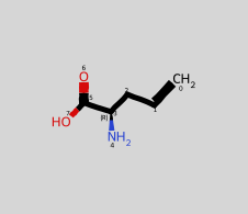 C=CC[C@@H](N)C(=O)O